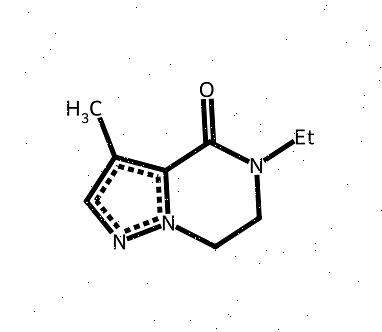 CCN1CCn2ncc(C)c2C1=O